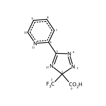 O=C(O)C1(C(F)(F)F)N=NC(c2ccccn2)=N1